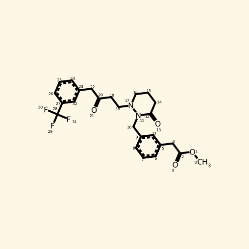 COC(=O)Cc1cccc(CN2C(=O)CCCN2CCC(=O)Cc2cccc(C(F)(F)F)c2)c1